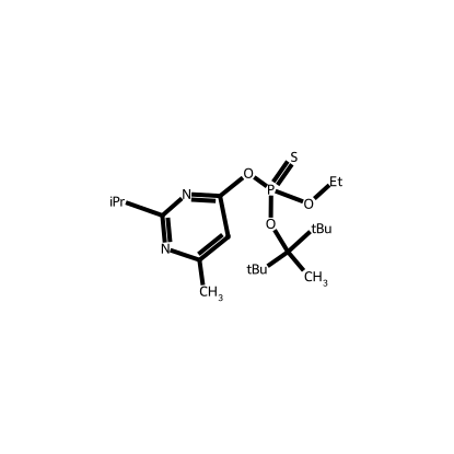 CCOP(=S)(Oc1cc(C)nc(C(C)C)n1)OC(C)(C(C)(C)C)C(C)(C)C